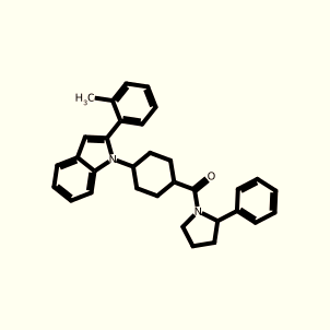 Cc1ccccc1-c1cc2ccccc2n1C1CCC(C(=O)N2CCCC2c2ccccc2)CC1